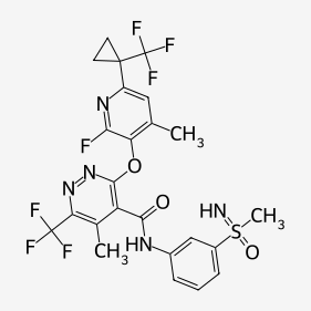 Cc1cc(C2(C(F)(F)F)CC2)nc(F)c1Oc1nnc(C(F)(F)F)c(C)c1C(=O)Nc1cccc(S(C)(=N)=O)c1